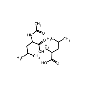 CC(=O)NC(CC(C)C)C(=O)O.CC(C)CC(N)C(=O)O